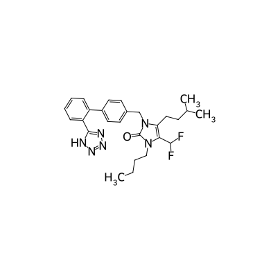 CCCCn1c(C(F)F)c(CCC(C)C)n(Cc2ccc(-c3ccccc3-c3nnn[nH]3)cc2)c1=O